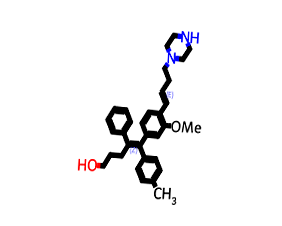 COc1cc(/C(=C(/CCCO)c2ccccc2)c2ccc(C)cc2)ccc1/C=C/CCN1CCNCC1